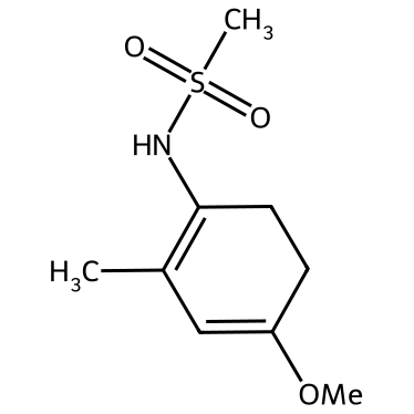 COC1=CC(C)=C(NS(C)(=O)=O)CC1